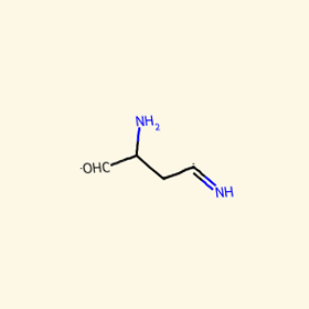 N=[C]CC(N)[C]=O